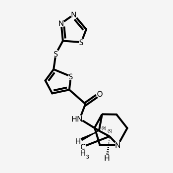 C[C@H]1[C@H](NC(=O)c2ccc(Sc3nncs3)s2)C2CCN1CC2